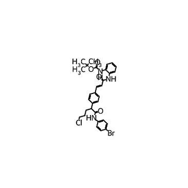 CC(C)(C)OC(=O)Nc1ccccc1NC(=O)/C=C/c1ccc(C(CCCCl)C(=O)Nc2ccc(Br)cc2)cc1